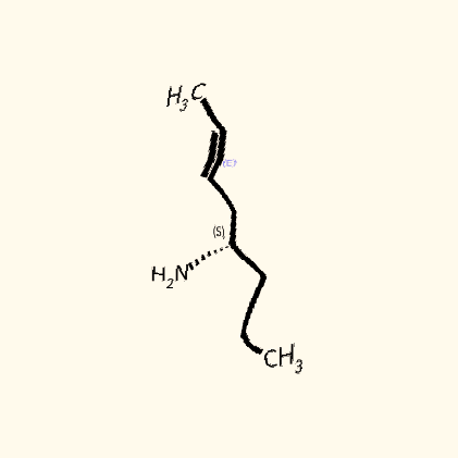 C/C=C/C[C@@H](N)CCC